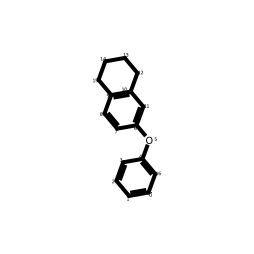 [c]1cccc(Oc2ccc3c(c2)CCCC3)c1